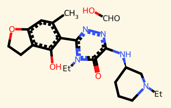 CCN1CCC[C@@H](Nc2nnc(-c3c(C)cc4c(c3O)CCO4)n(CC)c2=O)C1.O=CO